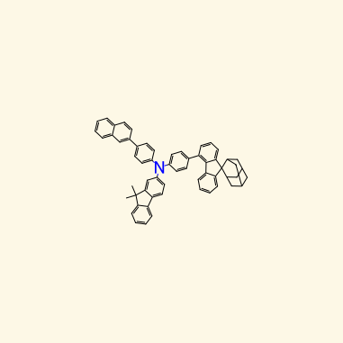 CC1(C)c2ccccc2-c2ccc(N(c3ccc(-c4ccc5ccccc5c4)cc3)c3ccc(-c4cccc5c4-c4ccccc4C54C5CC6CC(C5)CC4C6)cc3)cc21